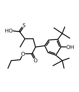 CCCOC(=O)C(CC(C)C(O)=S)c1cc(C(C)(C)C)c(O)c(C(C)(C)C)c1